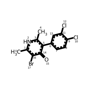 Cc1[nH]c(C)c(-c2ccc(Cl)c(Cl)c2)c(=O)c1Br